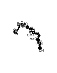 COc1cc2c(cc1OCC(C)(C)CC(C)(C)COc1cc3c(cc1OC)C(=O)N1C=C(c4ccc(NC(=O)[C@H](C)NC(=O)C(NC(=O)CCCCCN5C(=O)C=CC5=O)C(C)C)cc4)C[C@H]1C=N3)N=C[C@@H]1CC(c3ccc(O)cc3)=CN1C2=O